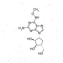 CONc1nc(N)nc2c1ncn2[C@@H]1C[C@H](CO)[C@@H](O)[C@H]1O